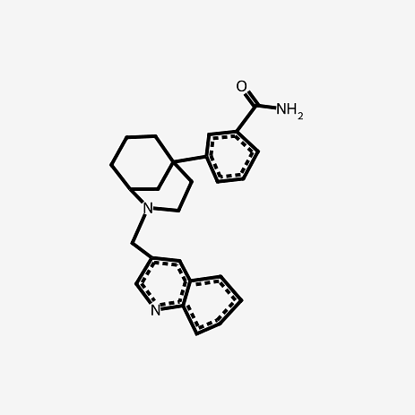 NC(=O)c1cccc(C23CCCC(C2)N(Cc2cnc4ccccc4c2)CC3)c1